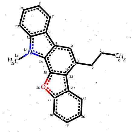 CCCc1cc2c3ccccc3n(C)c2c2oc3ccccc3c12